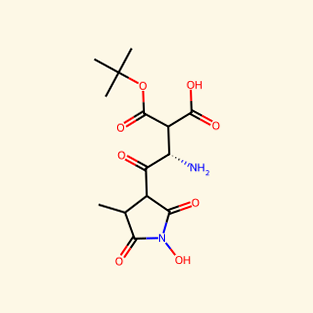 CC1C(=O)N(O)C(=O)C1C(=O)[C@@H](N)C(C(=O)O)C(=O)OC(C)(C)C